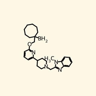 BC1(COc2cccc(C3CCN(Cc4nc5ccccc5n4C)CC3)n2)CCCCCCC1